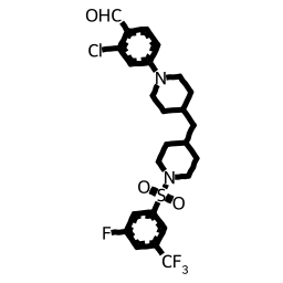 O=Cc1ccc(N2CCC(CC3CCN(S(=O)(=O)c4cc(F)cc(C(F)(F)F)c4)CC3)CC2)cc1Cl